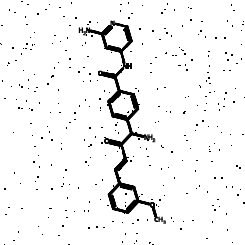 COc1cccc(/C=C/C(=O)C(N)c2ccc(C(=O)Nc3ccnc(N)c3)cc2)c1